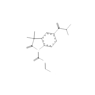 CC(Br)C(=O)c1ccc2c(c1)C(C)(C)C(=O)N2C(=O)OCC(F)(F)F